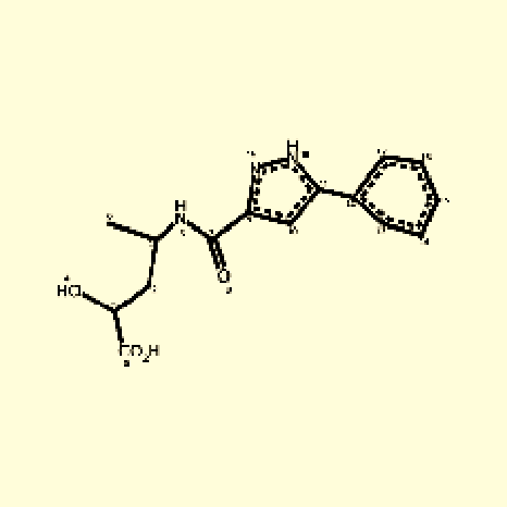 CC(CC(O)C(=O)O)NC(=O)c1cc(-c2ccccc2)[nH]n1